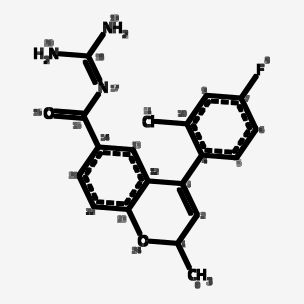 CC1C=C(c2ccc(F)cc2Cl)c2cc(C(=O)N=C(N)N)ccc2O1